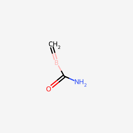 C=BC(N)=O